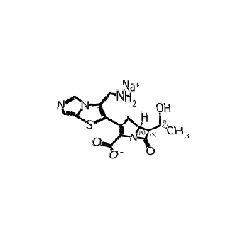 C[C@@H](O)[C@H]1C(=O)N2C(C(=O)[O-])=C(c3sc4cncn4c3CN)C[C@H]12.[Na+]